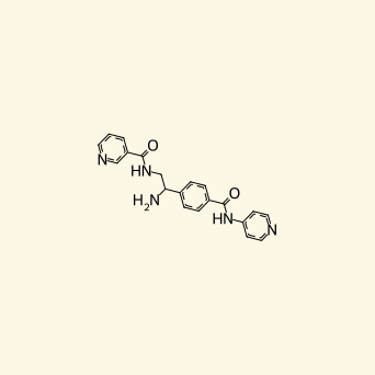 NC(CNC(=O)c1cccnc1)c1ccc(C(=O)Nc2ccncc2)cc1